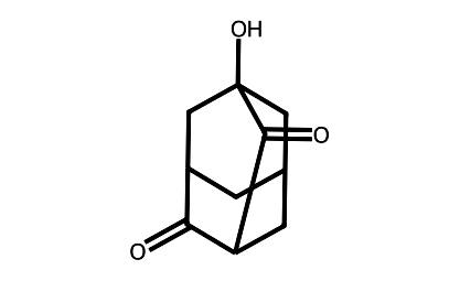 O=C1C2CC3CC1C(=O)C(O)(C3)C2